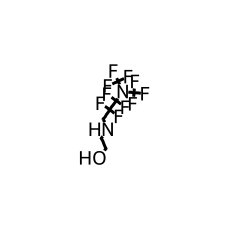 OCCNCC(F)(F)C(F)(F)N(C(F)(F)F)C(F)(F)F